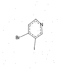 Brc1ccncc1I